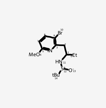 CCC(Cc1nc(OC)ccc1Br)N[S+]([O-])C(C)(C)C